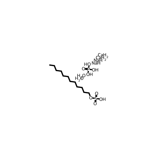 CCCCCCCCCCCCOS(=O)(=O)O.O.O.O=P(O)(O)O.[CaH2].[CaH2].[NaH].[NaH]